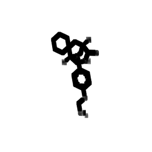 CCOc1ccc(N2C[C@@H]3CC4(CCCCC4)[C@H]2CNC3=O)cc1